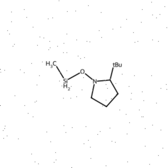 C[SiH2]ON1CCCC1C(C)(C)C